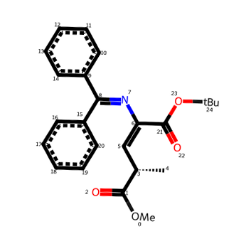 COC(=O)[C@@H](C)/C=C(/N=C(c1ccccc1)c1ccccc1)C(=O)OC(C)(C)C